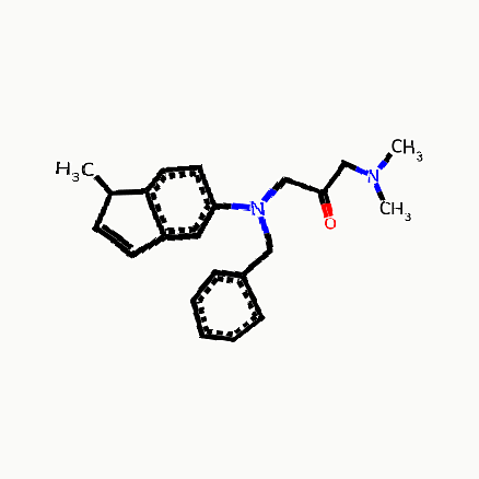 CC1C=Cc2cc(N(CC(=O)CN(C)C)Cc3ccccc3)ccc21